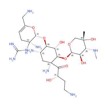 CN[C@@H]1[C@@H](O)[C@@H](O[C@@H]2[C@@H](O)[C@H](O[C@H]3OC(CN)=CC[C@]3(N)NC(=N)N)[C@@H](N)C[C@]2(N)C(=O)[C@@H](O)CCN)OC[C@]1(C)O